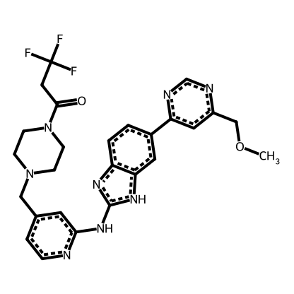 COCc1cc(-c2ccc3nc(Nc4cc(CN5CCN(C(=O)CC(F)(F)F)CC5)ccn4)[nH]c3c2)ncn1